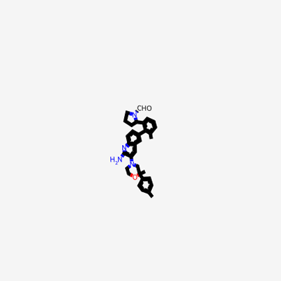 Cc1ccc(C2(C)CN(c3cc4cc(-c5c(C)cccc5C5CCCN5C=O)ccc4nc3N)CCO2)cc1